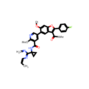 C=N/C(=N\C=C/C)C1(NC(=O)c2cc(-c3cc4c(C(=O)NC)c(-c5ccc(F)cc5)oc4cc3OCC)cnc2OC)CC1